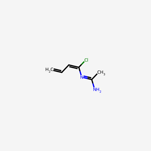 C=C/C=C(Cl)\N=C(/C)N